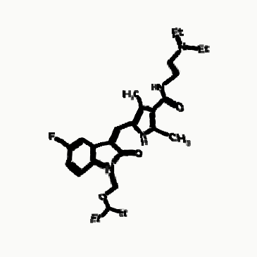 CCC(CC)OCN1C(=O)/C(=C\c2[nH]c(C)c(C(=O)NCCN(CC)CC)c2C)c2cc(F)ccc21